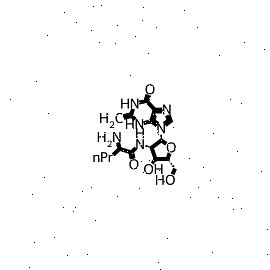 C=C1NC(=O)c2ncn([C@@H]3O[C@H](CO)C(O)[C@@H]3NC(=O)C(N)CCC)c2N1